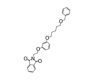 O=C1c2ccccc2C(=O)N1CCOc1cccc(OCCCCCOCc2ccccc2)c1